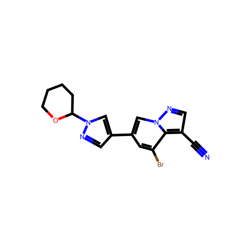 N#Cc1cnn2cc(-c3cnn(C4CCCCO4)c3)cc(Br)c12